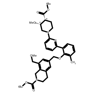 COCc1cc(COc2c(C)cccc2-c2cccc(N3CC[C@@H](C(=O)OC(C)(C)C)[C@@H](OC)C3)n2)cc2c1CN(C(=O)OC(C)(C)C)CC2